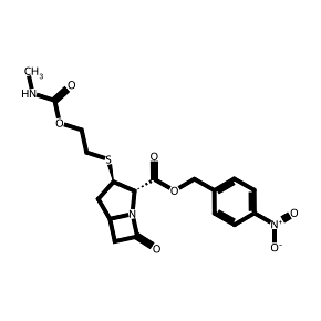 CNC(=O)OCCS[C@@H]1CC2CC(=O)N2[C@H]1C(=O)OCc1ccc([N+](=O)[O-])cc1